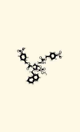 CS(=O)(=O)O[C@@]1(CNC(=O)OCc2ccc([N+](=O)[O-])cc2)C[C@@H](Cc2cccc3ccccc23)N(C(=O)OCc2ccc([N+](=O)[O-])cc2)C1